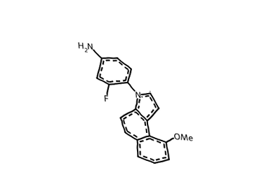 COc1cccc2ccc3c(c[c]n3-c3ccc(N)cc3F)c12